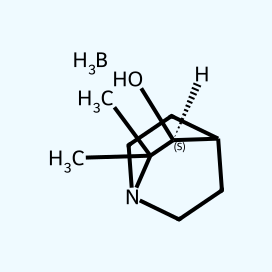 B.CC1(C)[C@@H](O)C2CCN1CC2